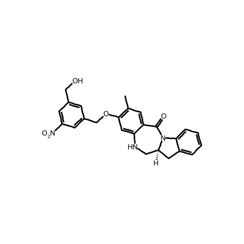 Cc1cc2c(cc1OCc1cc(CO)cc([N+](=O)[O-])c1)NC[C@@H]1Cc3ccccc3N1C2=O